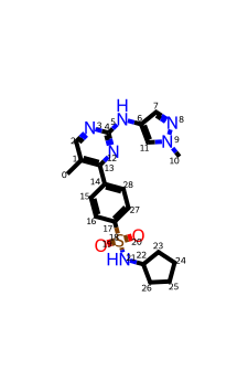 Cc1cnc(Nc2cnn(C)c2)nc1-c1ccc(S(=O)(=O)NC2CCCC2)cc1